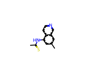 CC(=S)Nc1cc(C)cc2cnccc12